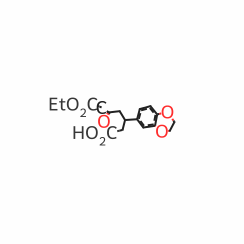 CCOC(=O)CC(=O)CC(CC(=O)O)c1ccc2c(c1)OCCO2